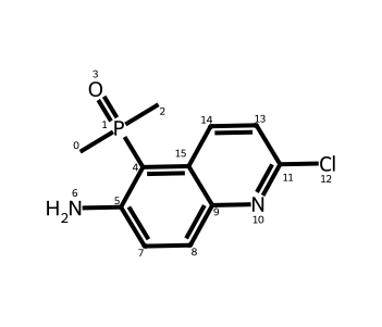 CP(C)(=O)c1c(N)ccc2nc(Cl)ccc12